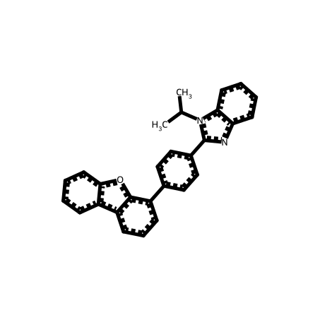 CC(C)n1c(-c2ccc(-c3cccc4c3oc3ccccc34)cc2)nc2ccccc21